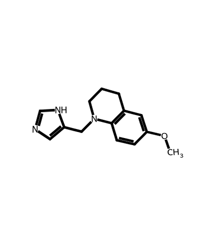 COc1ccc2c(c1)CCCN2Cc1cnc[nH]1